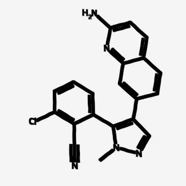 Cn1ncc(-c2ccc3ccc(N)nc3c2)c1-c1cccc(Cl)c1C#N